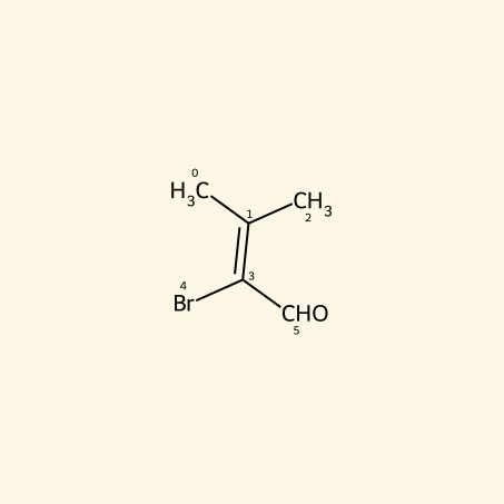 CC(C)=C(Br)C=O